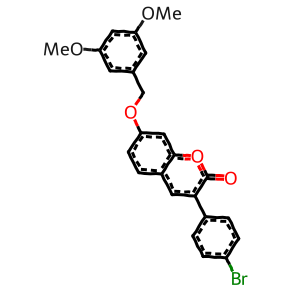 COc1cc(COc2ccc3cc(-c4ccc(Br)cc4)c(=O)oc3c2)cc(OC)c1